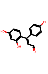 O=C/C=C(\c1ccc(O)cc1)c1ccc(O)cc1O